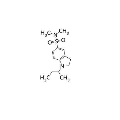 CCC(C)N1CCc2cc(S(=O)(=O)N(C)C)ccc21